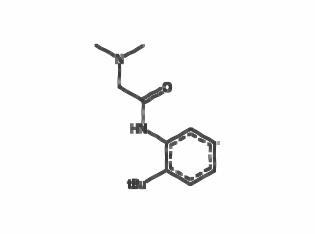 CN(C)CC(=O)Nc1c[c]ccc1C(C)(C)C